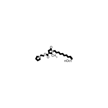 CCCCCCCC/C=C\CCCCCCCCN1C(=O)C[C@H](C(=O)OCCN2CCCC2)[C@H]1C